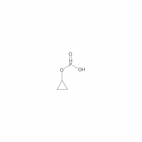 O=[PH](O)OC1CC1